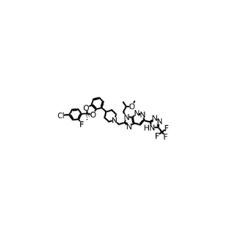 COC(C)Cn1c(CN2CCC(c3cccc4c3O[C@@](C)(c3ccc(Cl)cc3F)O4)CC2)nc2cc(-c3nnc(C(F)(F)F)[nH]3)nnc21